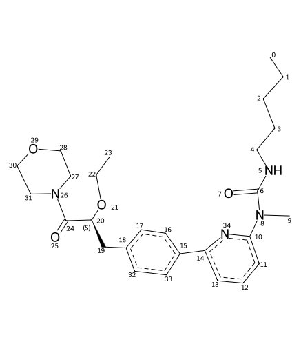 CCCCCNC(=O)N(C)c1cccc(-c2ccc(C[C@H](OCC)C(=O)N3CCOCC3)cc2)n1